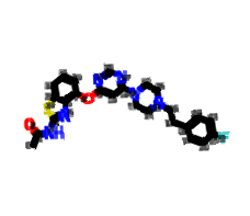 CC(=O)Nc1nc2c(Oc3cc(N4CCN(CCc5ccc(F)cc5)CC4)ncn3)cccc2s1